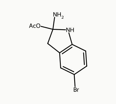 CC(=O)OC1(N)Cc2cc(Br)ccc2N1